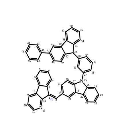 C(=C1/c2ccccc2-c2cccnc21)/c1ccc2c(c1)c1ccccc1n2-c1cccc(C2c3ccccc3-c3cc(-c4ccccc4)ccc32)c1